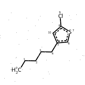 [CH2]CCCCc1csc(Cl)c1